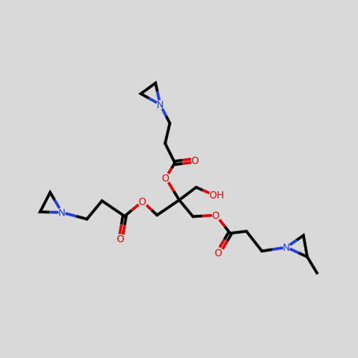 CC1CN1CCC(=O)OCC(CO)(COC(=O)CCN1CC1)OC(=O)CCN1CC1